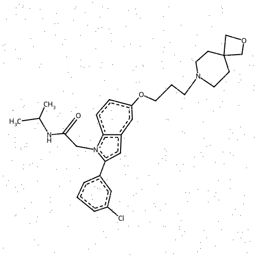 CC(C)NC(=O)Cn1c(-c2cccc(Cl)c2)cc2cc(OCCCN3CCC4(CC3)COC4)ccc21